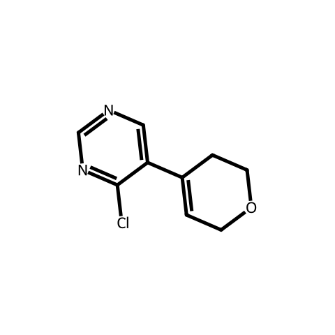 Clc1ncncc1C1=CCOCC1